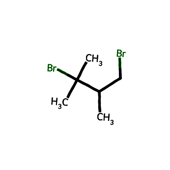 CC(CBr)C(C)(C)Br